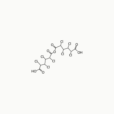 O=C(O)C(Cl)C(Cl)C(Cl)C(Cl)C(=O)OC(=O)C(Cl)C(Cl)C(Cl)C(Cl)C(=O)O